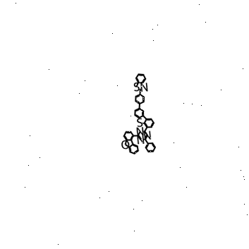 c1ccc(-c2nc(-c3cccc4c3sc3ccc(-c5ccc(-c6nc7ccccc7s6)cc5)cc34)nc(-c3cccc4oc5ccccc5c34)n2)cc1